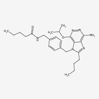 CCCCC(=O)NCc1ccc(Cn2c(CCCC)nc3c(N)nnc(OC(C)C)c32)cc1